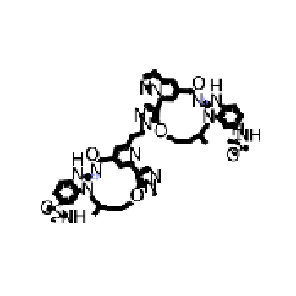 CC1CCCOc2c(cnn2C)-c2cc(cc(CCn3ncc4c3OCCCC(C)CN3/C(=N/C(=O)c5cc-4n4nccc4c5)Nc4ccc(N[SH](C)(C)=O)cc43)n2)C(=O)/N=C2\Nc3ccc(S(C)(=N)=O)cc3N2C1